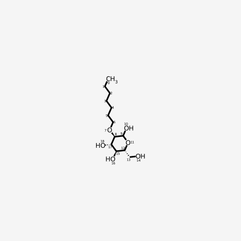 CCCCCCCO[C@H]1C(O)O[C@H](CO)[C@@H](O)[C@@H]1O